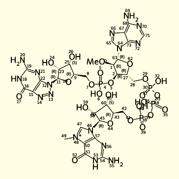 CO[C@@H]1[C@H](OP(=O)(O)OC[C@H]2O[C@@H](n3nnc4c(=O)[nH]c(N)nc43)[C@H](O)[C@@H]2O)[C@@H](COP(=O)(O)OP(=O)(O)OP(=O)(O)OC[C@H]2O[C@@H](n3c[n+](C)c4c(=O)[nH]c(N)nc43)[C@H](O)[C@@H]2O)O[C@H]1n1cnc2c(N)ncnc21